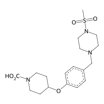 CS(=O)(=O)N1CCN(Cc2ccc(OC3CCN(C(=O)O)CC3)cc2)CC1